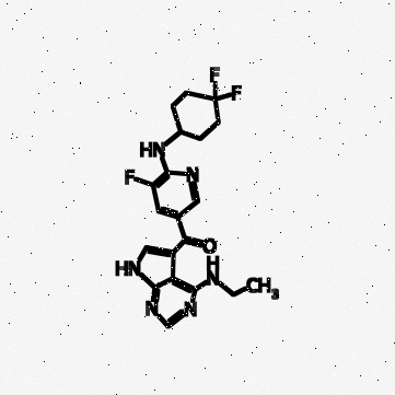 CCNc1ncnc2[nH]cc(C(=O)c3cnc(NC4CCC(F)(F)CC4)c(F)c3)c12